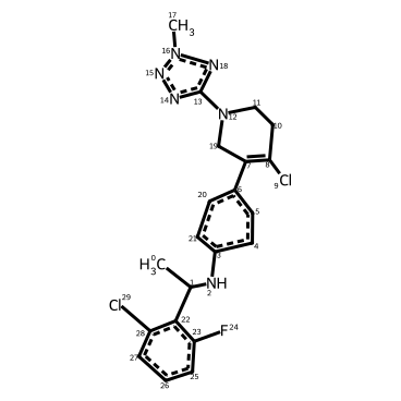 CC(Nc1ccc(C2=C(Cl)CCN(c3nnn(C)n3)C2)cc1)c1c(F)cccc1Cl